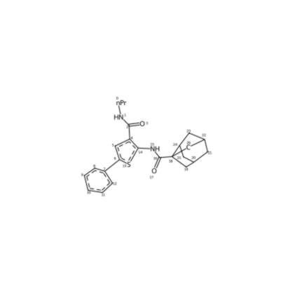 CCCNC(=O)c1cc(-c2ccccc2)sc1NC(=O)C12CC3CC(CC1C3)C2